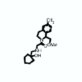 COCC1c2ccc(C)cc2CCN1C(=O)CNCC1(O)CCCCC1